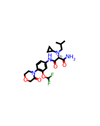 CC(C)CN(C1CC1)[C@@H](C(N)=O)C(=O)Nc1ccc(N2CCOCC2=O)c(OC(F)F)c1